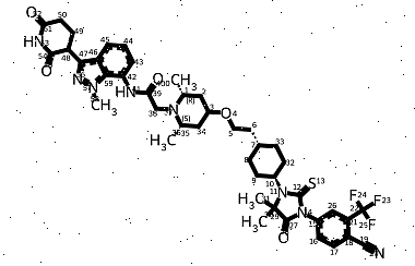 C[C@@H]1CC(OCC[C@H]2CC[C@H](N3C(=S)N(c4ccc(C#N)c(C(F)(F)F)c4)C(=O)C3(C)C)CC2)C[C@H](C)N1CC(=O)Nc1cccc2c(C3CCC(=O)NC3=O)nn(C)c12